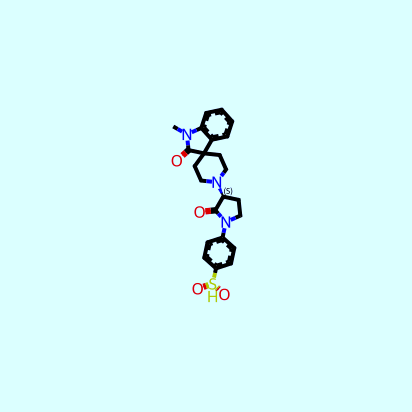 CN1C(=O)C2(CCN([C@H]3CCN(c4ccc([SH](=O)=O)cc4)C3=O)CC2)c2ccccc21